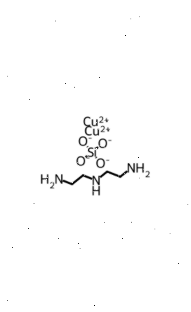 NCCNCCN.[Cu+2].[Cu+2].[O-][Si]([O-])([O-])[O-]